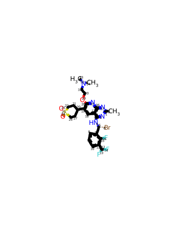 Cc1nc(N[C@H](Br)c2cccc(C(F)F)c2F)c2cc(C3CCS(=O)(=O)CC3)c(OCCN(C)C)nc2n1